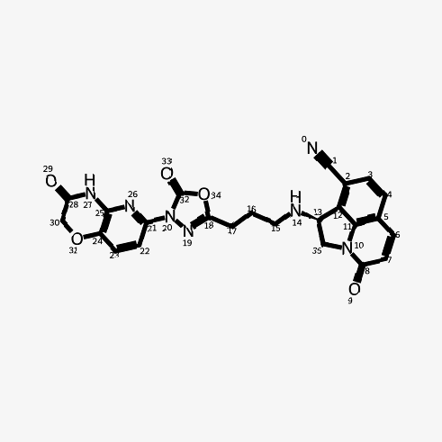 N#Cc1ccc2ccc(=O)n3c2c1[C@H](NCCCc1nn(-c2ccc4c(n2)NC(=O)CO4)c(=O)o1)C3